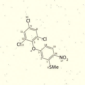 CSc1cc(Oc2c(Cl)cc(Cl)cc2Cl)ccc1[N+](=O)[O-]